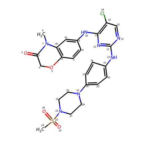 CN1C(=O)COc2ccc(Nc3nc(Nc4ccc(N5CCN(S(C)(=O)=O)CC5)cc4)ncc3Cl)cc21